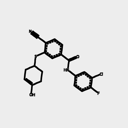 N#Cc1ccc(C(=O)Nc2ccc(F)c(Cl)c2)cc1SC1CC=C(O)CC1